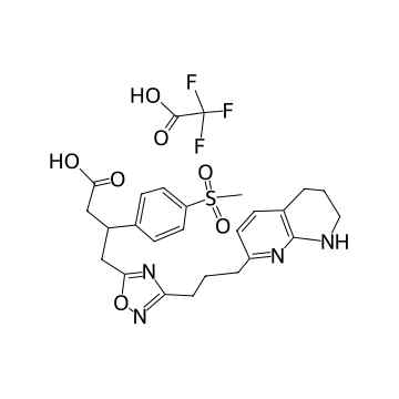 CS(=O)(=O)c1ccc(C(CC(=O)O)Cc2nc(CCCc3ccc4c(n3)NCCC4)no2)cc1.O=C(O)C(F)(F)F